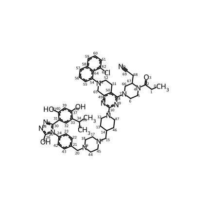 CCC(=O)N1CCN(c2nc(N3CCC(CN4CCN(Cc5ccc(-n6c(O)nnc6-c6cc(C(C)C)c(O)cc6O)cc5)CC4)CC3)nc3c2CCN(c2cccc4cccc(Cl)c24)C3)CC1CC#N